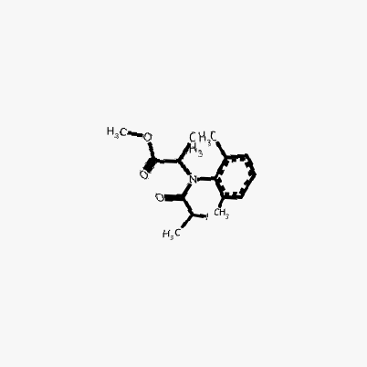 COC(=O)C(C)N(C(=O)C(C)I)c1c(C)cccc1C